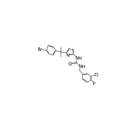 CC(C)(c1ccc(Br)cc1)c1csc(NC(=O)NCc2ccc(F)c(Cl)c2)n1